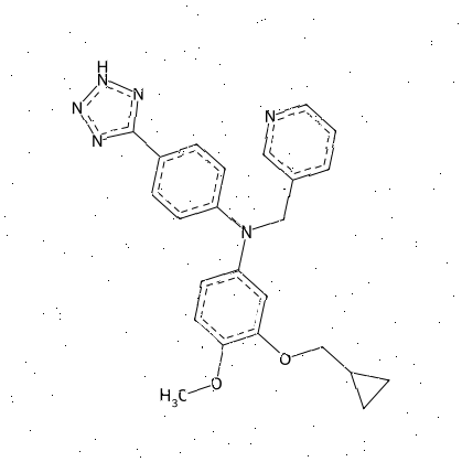 COc1ccc(N(Cc2cccnc2)c2ccc(-c3nn[nH]n3)cc2)cc1OCC1CC1